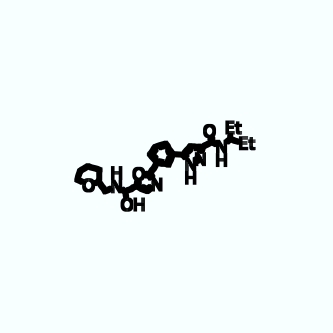 CCC(CC)NC(=O)c1cc(-c2cccc(-c3ncc(C(O)NCC4CCCCO4)o3)c2)[nH]n1